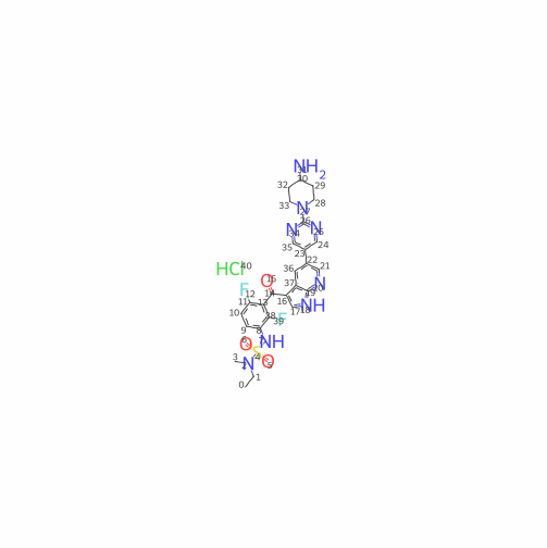 CCN(C)S(=O)(=O)Nc1ccc(F)c(C(=O)c2c[nH]c3ncc(-c4cnc(N5CCC(N)CC5)nc4)cc23)c1F.Cl